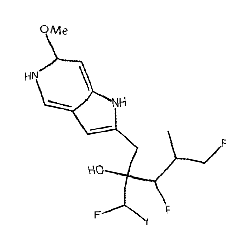 COC1C=c2[nH]c(CC(O)(C(F)I)C(F)C(C)CF)cc2=CN1